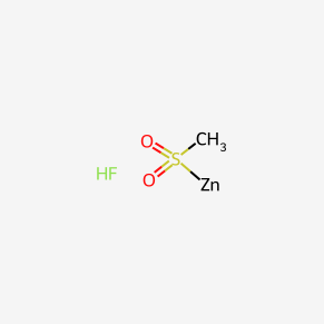 C[S](=O)(=O)[Zn].F